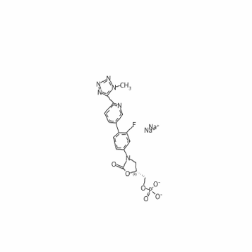 Cn1nnnc1-c1ccc(-c2ccc(N3C[C@H](COP(=O)([O-])[O-])OC3=O)cc2F)cn1.[Na+].[Na+]